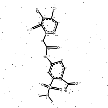 CN(C)S(=O)(=O)c1cc(NC(=O)Cn2ncc(Cl)c(Cl)c2=O)ccc1C(N)=O